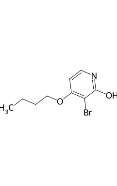 CCCCOc1ccnc(O)c1Br